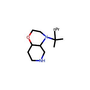 CCCC(C)(C)N1CCOC2CCNCC21